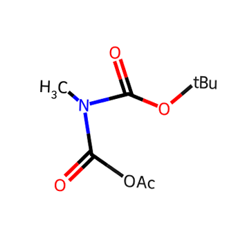 CC(=O)OC(=O)N(C)C(=O)OC(C)(C)C